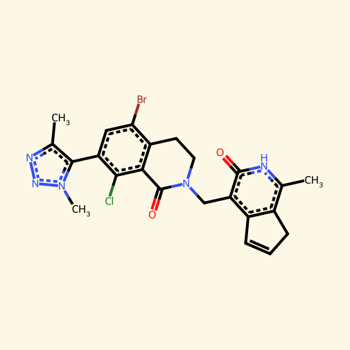 Cc1nnn(C)c1-c1cc(Br)c2c(c1Cl)C(=O)N(Cc1c3c(c(C)[nH]c1=O)CC=C3)CC2